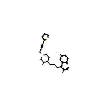 COc1ccc2ncc(Cl)c([C@H](O)CCC3CCN(CC#Cc4cccs4)CC3C(=O)O)c2c1